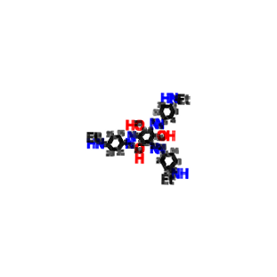 CCNc1ccc(N=Nc2c(O)c(N=Nc3ccc(NCC)cc3)c(O)c(N=Nc3ccc(NCC)cc3)c2O)cc1